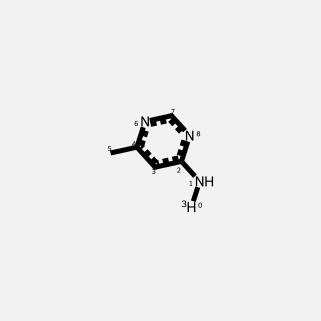 [3H]Nc1cc(C)ncn1